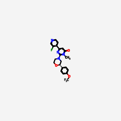 Cn1c(N2CCO[C@@H](c3ccc(OC(F)(F)F)cc3)C2)nc(-c2ccncc2F)cc1=O